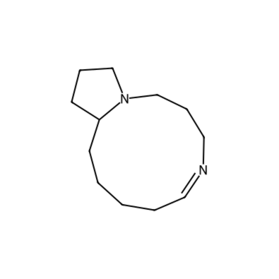 C1=NCCCN2CCCC2CCCC1